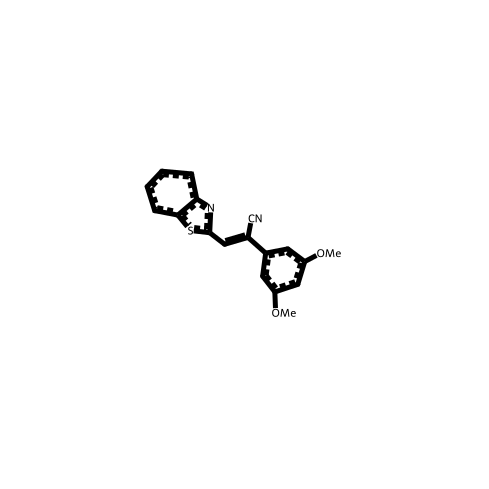 COc1cc(OC)cc(/C(C#N)=C/c2nc3ccccc3s2)c1